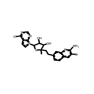 CC1(CCc2ccc3cc(Br)c(N)nc3c2)SC(n2ccc3c(Cl)ncnc32)C(O)C1O